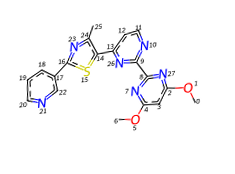 COc1cc(OC)nc(-c2nccc(-c3sc(-c4cccnc4)nc3C)n2)n1